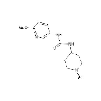 COc1ccc(NC(=O)NC2CCN(C(C)=O)CC2)cn1